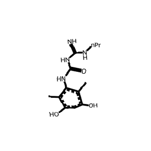 CCCNC(=N)NC(=O)Nc1c(C)c(O)cc(O)c1C